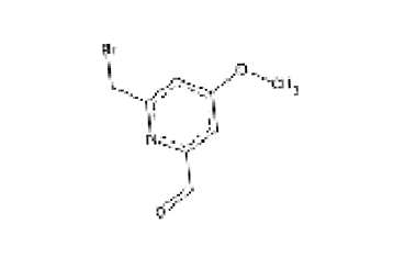 COc1cc(C=O)nc(CBr)c1